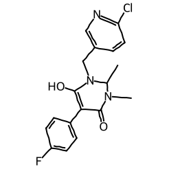 CC1N(C)C(=O)C(c2ccc(F)cc2)=C(O)N1Cc1ccc(Cl)nc1